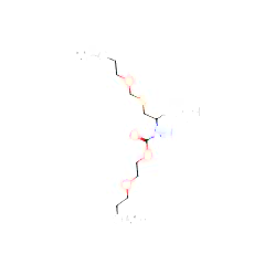 COCCOCCOC(=O)NC(CSCOCCOC)C(=O)O